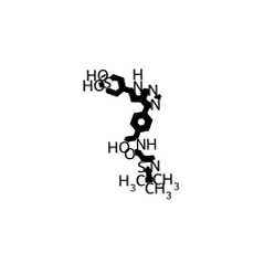 CC(C)(C)c1ncc(C(=O)NC(CO)c2ccc(-c3ncnc4[nH]c(C5=CCS(O)(O)CC5)cc34)cc2)s1